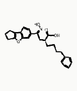 O=C(O)[C@@H](CCCCc1ccccc1)CC(=NO)c1ccc2c3c(oc2c1)CCC3